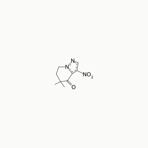 CC1(C)CCn2ncc([N+](=O)[O-])c2C1=O